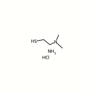 CN(C)CCS.Cl.N